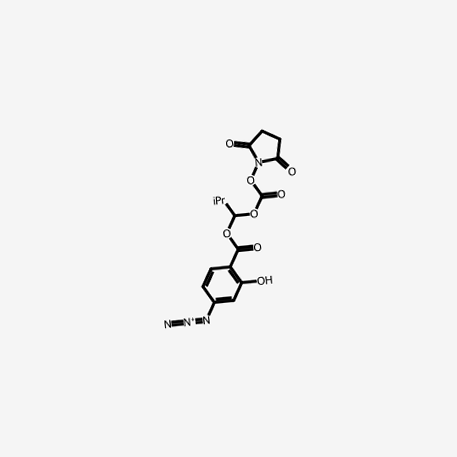 CC(C)C(OC(=O)ON1C(=O)CCC1=O)OC(=O)c1ccc(N=[N+]=[N-])cc1O